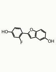 Oc1ccc(-c2cc3cc(O)ccc3o2)c(F)c1